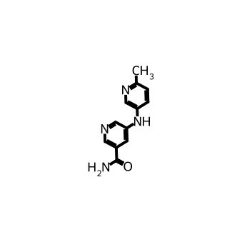 Cc1ccc(Nc2cncc(C(N)=O)c2)cn1